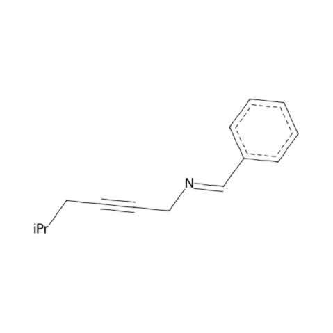 CC(C)CC#CCN=Cc1ccccc1